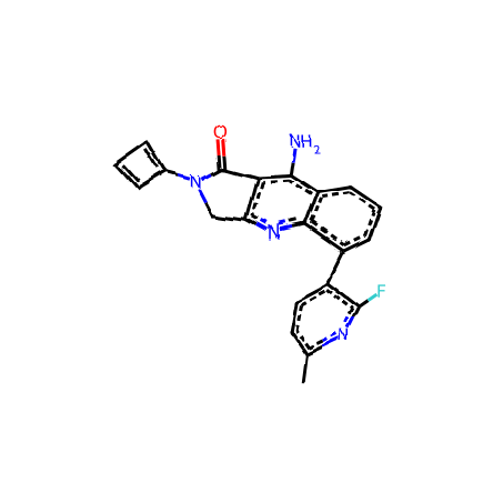 Cc1ccc(-c2cccc3c(N)c4c(nc23)CN(C2=CC=C2)C4=O)c(F)n1